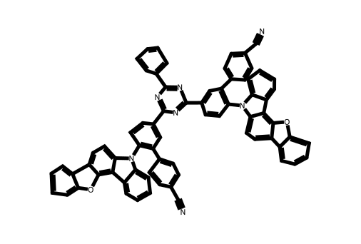 N#Cc1ccc(-c2cc(-c3nc(-c4ccccc4)nc(-c4ccc(-n5c6ccccc6c6c7oc8ccccc8c7ccc65)c(-c5ccc(C#N)cc5)c4)n3)ccc2-n2c3ccccc3c3c4oc5ccccc5c4ccc32)cc1